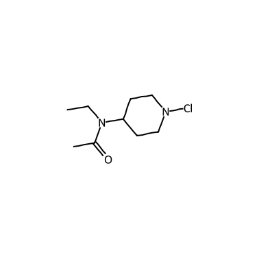 CCN(C(C)=O)C1CCN(Cl)CC1